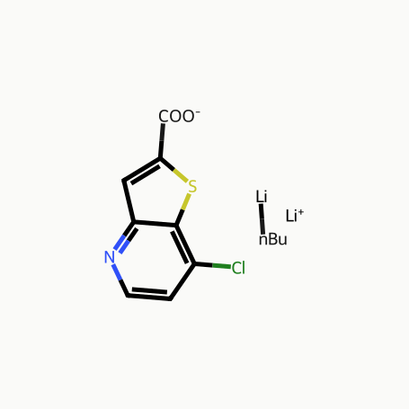 O=C([O-])c1cc2nccc(Cl)c2s1.[Li+].[Li][CH2]CCC